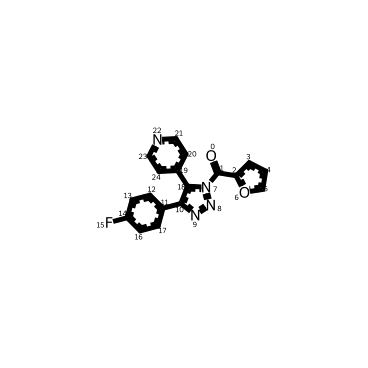 O=C(c1ccco1)n1nnc(-c2ccc(F)cc2)c1-c1ccncc1